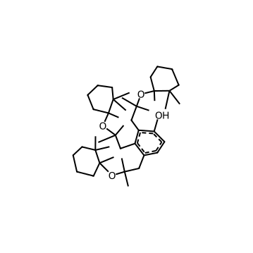 CC(C)(Cc1ccc(O)c(CC(C)(C)OC2(C)CCCCC2(C)C)c1CC(C)(C)OC1(C)CCCCC1(C)C)OC1(C)CCCCC1(C)C